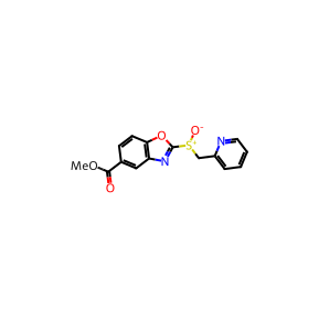 COC(=O)c1ccc2oc([S+]([O-])Cc3ccccn3)nc2c1